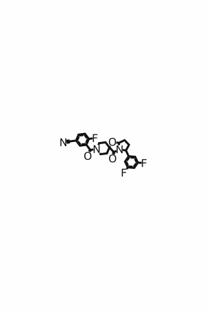 N#Cc1ccc(F)c(C(=O)N2CCC3(CC2)OC2CCC(c4cc(F)cc(F)c4)N2C3=O)c1